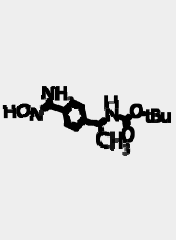 C[C@H](NC(=O)OC(C)(C)C)c1ccc(/C(N)=N/O)cc1